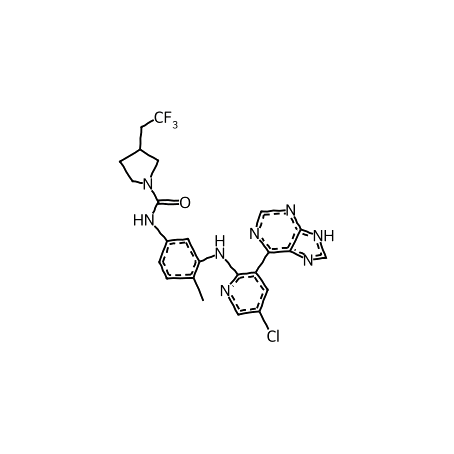 Cc1ccc(NC(=O)N2CCC(CC(F)(F)F)C2)cc1Nc1ncc(Cl)cc1-c1ncnc2[nH]cnc12